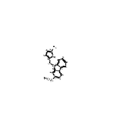 O=C(O)c1ccc2c3ccccc3n(Cc3ccc(F)s3)c2c1